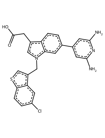 Nc1cc(-c2ccc3c(CC(=O)O)cn(Cc4csc5ccc(Cl)cc45)c3c2)cc(N)n1